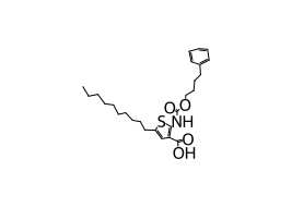 CCCCCCCCCCc1cc(C(=O)O)c(NC(=O)OCCCCc2ccccc2)s1